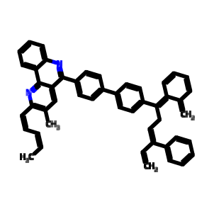 C=C/C(=C/C/C(c1ccc(-c2ccc(-c3nc4ccccc4c4nc(/C=C\C=C/C)c(C)cc34)cc2)cc1)=c1/ccccc1=C)c1ccccc1